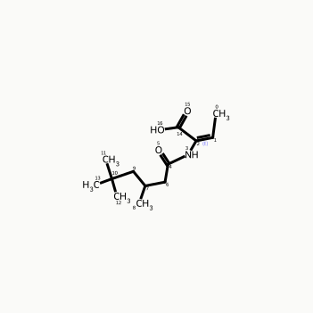 C/C=C(/NC(=O)CC(C)CC(C)(C)C)C(=O)O